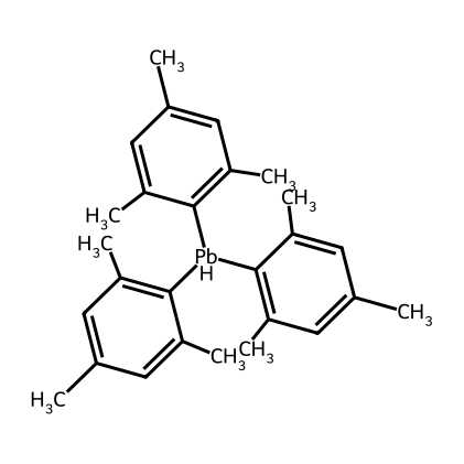 Cc1cc(C)[c]([PbH]([c]2c(C)cc(C)cc2C)[c]2c(C)cc(C)cc2C)c(C)c1